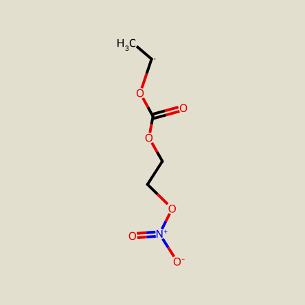 C[CH]OC(=O)OCCO[N+](=O)[O-]